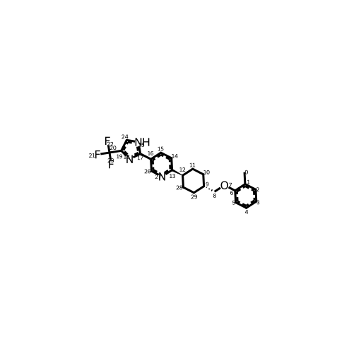 Cc1ccccc1OC[C@H]1CC[C@H](c2ccc(-c3nc(C(F)(F)F)c[nH]3)cn2)CC1